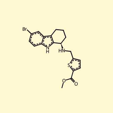 COC(=O)c1ccc(CN[C@@H]2CCCc3c2[nH]c2ccc(Br)cc32)s1